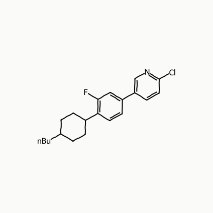 CCCCC1CCC(c2ccc(-c3ccc(Cl)nc3)cc2F)CC1